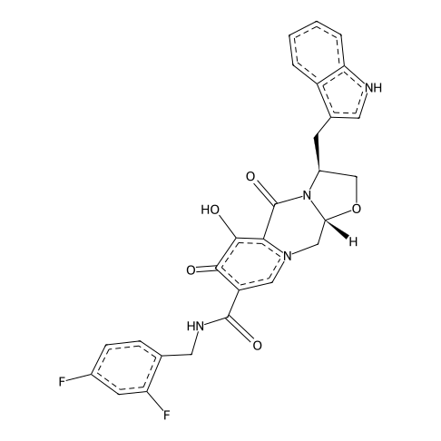 O=C(NCc1ccc(F)cc1F)c1cn2c(c(O)c1=O)C(=O)N1[C@@H](Cc3c[nH]c4ccccc34)CO[C@@H]1C2